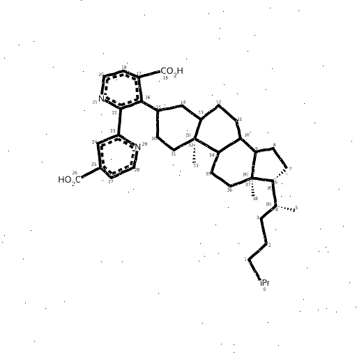 CC(C)CCC[C@@H](C)[C@H]1CCC2C3CCC4CC(c5c(C(=O)O)ccnc5-c5cc(C(=O)O)ccn5)CC[C@]4(C)C3CC[C@@]21C